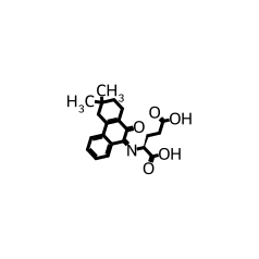 CC1(C)CCC2=C(C1)c1ccccc1/C(=N/[C@@H](CCC(=O)O)C(=O)O)C2=O